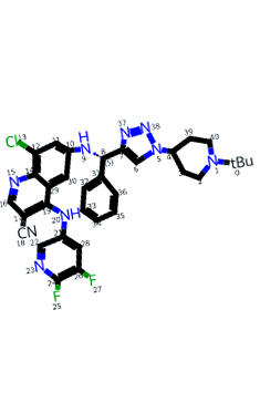 CC(C)(C)N1CCC(n2cc([C@@H](Nc3cc(Cl)c4ncc(C#N)c(Nc5cnc(F)c(F)c5)c4c3)c3ccccc3)nn2)CC1